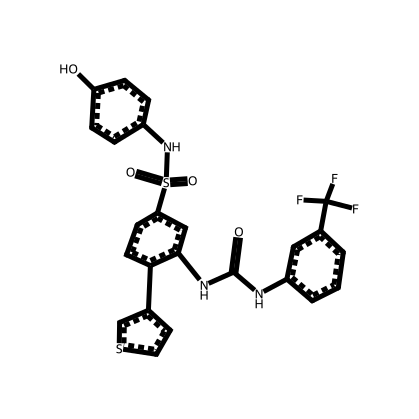 O=C(Nc1cccc(C(F)(F)F)c1)Nc1cc(S(=O)(=O)Nc2ccc(O)cc2)ccc1-c1ccsc1